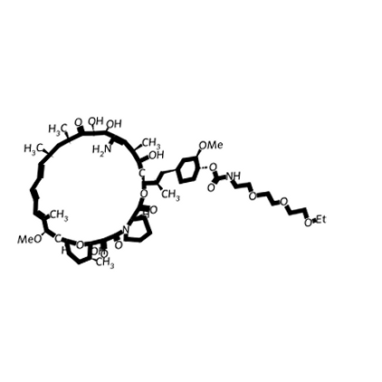 CCOCCOCCOCCNC(=O)O[C@@H]1CC[C@@H](C[C@@H](C)[C@@H]2CC(O)[C@H](C)/C=C(\N)[C@@H](O)[C@@H](O)C(=O)[C@H](C)C[C@H](C)/C=C/C=C/C=C(\C)[C@@H](OC)C[C@@H]3CC[C@@H](C)[C@@](O)(O3)C(=O)C(=O)N3CCCC[C@H]3C(=O)O2)C[C@H]1OC